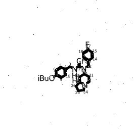 C=C(NCc1ccc(OCC(C)C)cc1)N(Cc1ccc(F)cc1)[C@H]1CCN2CCC[C@H]2C1